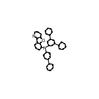 c1ccc(-c2ccc(N(c3cc(-c4ccccc4)cc(-c4ccccc4)c3)c3cccc4c3oc3cccnc34)cc2)cc1